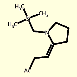 CC(=O)CC=C1CCCN1C[Si](C)(C)C